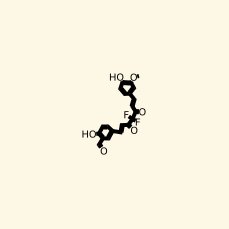 COc1cc(/C=C/C(=O)C(F)(F)C(=O)/C=C/c2ccc(O)c(C=O)c2)ccc1O